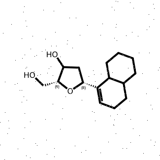 OC[C@H]1O[C@@H](C2=CCCC3CCCCC23)CC1O